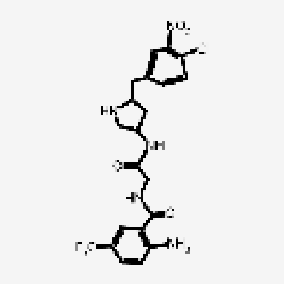 Nc1ccc(C(F)(F)F)cc1C(=O)NCC(=O)NC1CNC(Cc2ccc(Cl)c([N+](=O)[O-])c2)C1